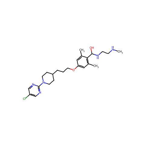 CNCCNC(O)c1c(C)cc(OCCCC2CCN(c3ncc(Cl)cn3)CC2)cc1C